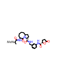 CN[C@@H](C)C(=O)N[C@H]1CCCCC2CC[C@@H](C(=O)NCc3cccc(NC(=O)[C@@H]4CCC(=O)O4)c3)N2C1=O